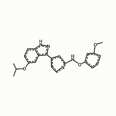 COc1cccc(ONc2cc(-c3n[nH]c4ccc(OC(C)C)cc34)ccn2)c1